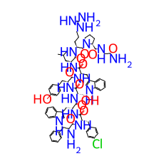 CC(C)C[C@H](NC(=O)[C@@H](Cc1c[nH]c2ccccc12)NC(=O)[C@H](Cc1ccc(O)cc1)NC(=O)[C@H](CO)NC(=O)[C@@H](Cc1c[nH]c2ccccc12)NC(=O)[C@H](Cc1ccc(Cl)cc1)NC(=O)[C@H](N)Cc1ccccc1)C(=O)N[C@@H](CCCNC(=N)N)C(=O)N1CCC[C@H]1C(=O)NCC(N)=O